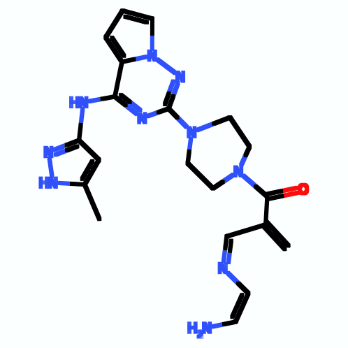 C=C(/C=N\C=C/N)C(=O)N1CCN(c2nc(Nc3cc(C)[nH]n3)c3cccn3n2)CC1